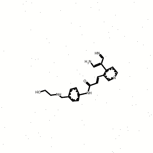 N=C/C(=C\N)c1ccncc1/C=C/C(=O)Nc1ccc(CNCCO)cc1